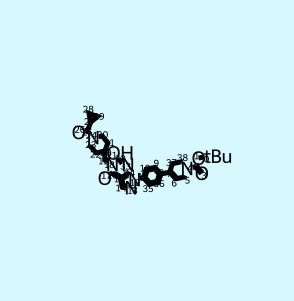 CC(C)(C)OC(=O)N1CC=C(c2ccc(-n3ncc4c(=O)n(CC5(O)CCN(C(=O)C6CC6)CC5)cnc43)cc2)CC1